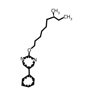 CC[C@H](C)CCCCCCOc1ncc(-c2cc[c]cc2)cn1